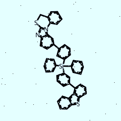 c1ccc([Si](c2ccccc2)(c2cccc(-c3ccc4nc5n(c4c3)-c3ccccc3CS5)c2)c2cccc(-c3cccc4sc5ccccc5c34)c2)cc1